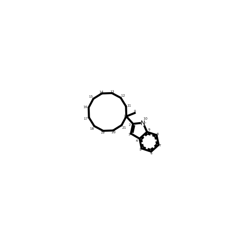 CC1(C2=Cc3ccccc3[N]2)CCCCCCCCCCC1